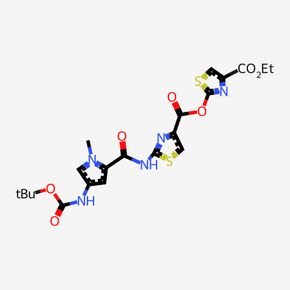 CCOC(=O)c1csc(OC(=O)c2csc(NC(=O)c3cc(NC(=O)OC(C)(C)C)cn3C)n2)n1